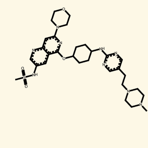 CN1CCN(CCc2cnc(NC3CCC(Oc4nc(N5CCOCC5)cc5ncc(NS(C)(=O)=O)cc45)CC3)nc2)CC1